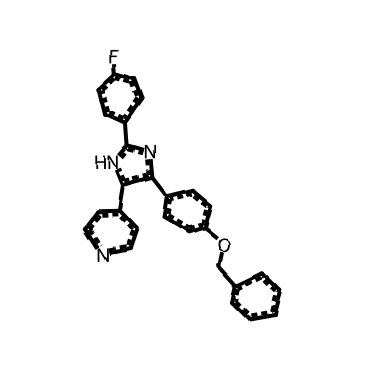 Fc1ccc(-c2nc(-c3ccc(OCc4ccccc4)cc3)c(-c3ccncc3)[nH]2)cc1